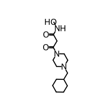 O=C(CC(=O)N1CCN(CC2CCCCC2)CC1)NO